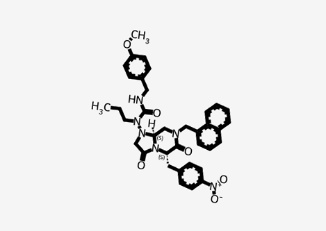 CCCN(C(=O)NCc1ccc(OC)cc1)N1CC(=O)N2[C@@H](Cc3ccc([N+](=O)[O-])cc3)C(=O)N(Cc3cccc4ccccc34)C[C@@H]21